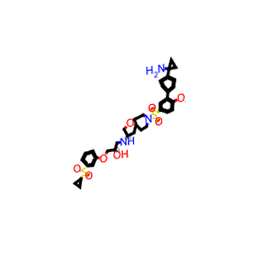 COc1ccc(S(=O)(=O)N2CCC3(CC2)C[C@@H](NC[C@H](O)COc2cccc(S(=O)(=O)C4CC4)c2)CO3)cc1-c1ccc(C2(N)CC2)cc1